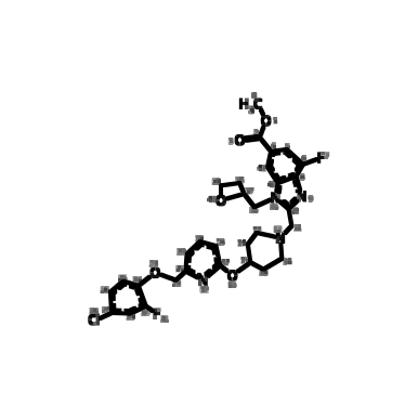 COC(=O)c1cc(F)c2nc(CN3CCC(Oc4cccc(COc5ccc(Cl)cc5F)n4)CC3)n(CC3CCO3)c2c1